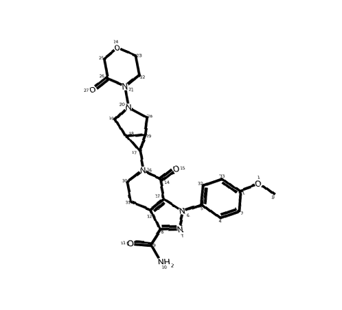 COc1ccc(-n2nc(C(N)=O)c3c2C(=O)N(C2C4CN(N5CCOCC5=O)CC42)CC3)cc1